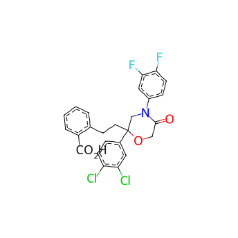 O=C(O)c1ccccc1CCC1(c2ccc(Cl)c(Cl)c2)CN(c2ccc(F)c(F)c2)C(=O)CO1